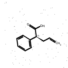 C=CC[C@H](C(=O)O)c1ccccc1